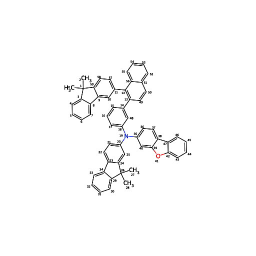 CC1(C)c2ccccc2-c2cc(-c3c(-c4cccc(N(c5ccc6c(c5)C(C)(C)c5ccccc5-6)c5ccc6c(c5)oc5ccccc56)c4)ccc4ccccc34)ccc21